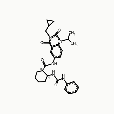 CC(C)n1c(=O)n(CC2CC2)c(=O)c2cc(NC(=O)[C@@H]3CCCC[C@@H]3NC(=O)Nc3ccccc3)ccc21